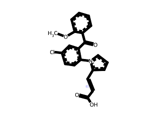 COc1ccccc1C(=O)c1cc(Cl)ccc1-n1cccc1/C=C/C(=O)O